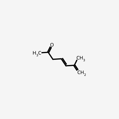 C=C(C)C=CCC(C)=O